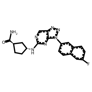 NC(=O)[C@@H]1CC[C@@H](Nc2ncc3nnn(-c4ccc5cc(F)ccc5c4)c3n2)C1